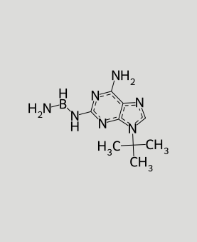 CC(C)(C)n1cnc2c(N)nc(NBN)nc21